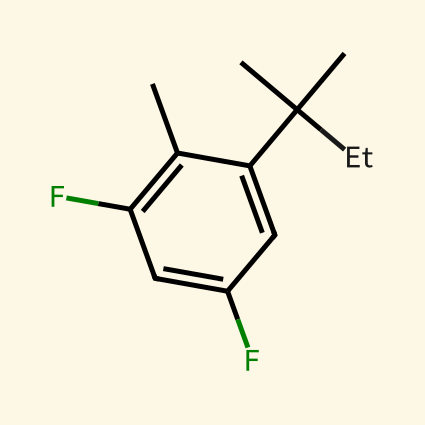 CCC(C)(C)c1cc(F)cc(F)c1C